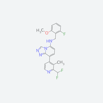 COc1cccc(F)c1CNc1ccc(-c2ccnc(C(F)F)c2C)c2nncn12